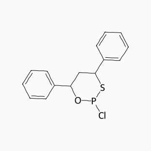 ClP1OC(c2ccccc2)CC(c2ccccc2)S1